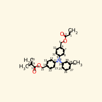 C=CC(=O)OCc1ccc(N(c2ccc(COC(=O)C(=C)C)cc2)c2cccc(C)c2)cc1